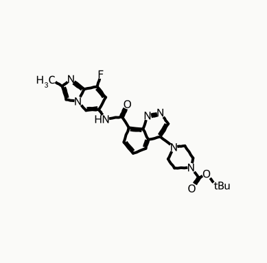 Cc1cn2cc(NC(=O)c3cccc4c(N5CCN(C(=O)OC(C)(C)C)CC5)cnnc34)cc(F)c2n1